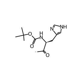 [CH2]C(=O)[C@H](Cc1c[nH]cn1)NC(=O)OC(C)(C)C